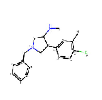 CNC1CN(Cc2ccccc2)CC1c1ccc(Cl)c(C)c1